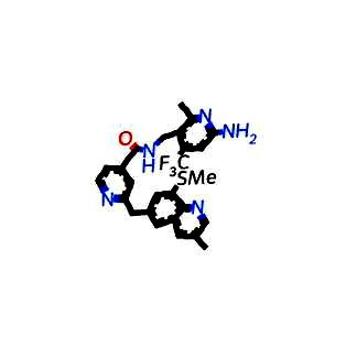 CSc1cc(Cc2cc(C(=O)NCc3c(C(F)(F)F)cc(N)nc3C)ccn2)cc2cc(C)cnc12